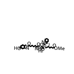 COC(=O)CCCCCN(C(=O)CNC(=O)[C@H](N)CCCCC(=O)[C@H](Cc1ccc(O)cc1)N(C)C)[C@@H](CC1CCCCC1)C(N)=O